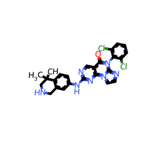 CC1(C)CNCc2cc(Nc3ncc4c(=O)n(-c5c(Cl)cccc5Cl)c5nccn5c4n3)ccc21